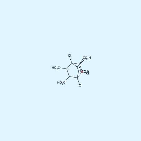 O=C(O)C1C(C(=O)O)C2(Cl)C(Cl)=C(Cl)C1(Cl)C(C(=O)O)C2C(=O)O